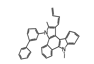 C=C/C=C\c1c(C)n(-c2cccc(-c3ccccc3)c2)c2c3ccccc3c3c(c4ccccc4n3I)c12